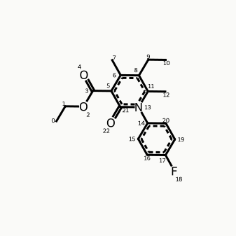 CCOC(=O)c1c(C)c(CC)c(C)n(-c2ccc(F)cc2)c1=O